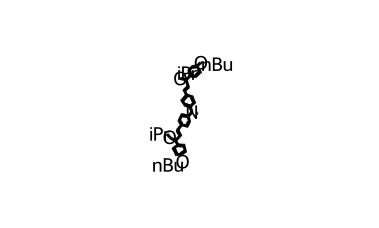 CCCCOc1ccc(C(C=Cc2ccc(N(C)c3ccc(C=CC(OC(C)C)c4ccc(OCCCC)cc4)cc3)cc2)OC(C)C)cc1